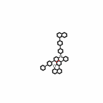 c1ccc(-c2ccc(-c3ccc(N(c4ccc(-c5ccc(-c6cccc7ccccc67)cc5)cc4)c4ccccc4-c4ccc5c(c4)-c4cccc6cccc(c46)O5)cc3)cc2)cc1